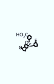 O=C(O)c1cccc(COc2cc3c(cc2SCc2cccc(F)c2)CCC3=O)c1